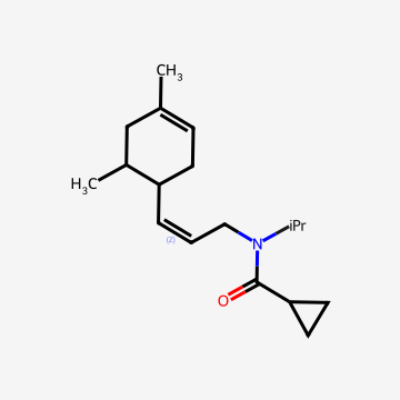 CC1=CCC(/C=C\CN(C(=O)C2CC2)C(C)C)C(C)C1